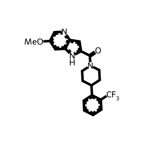 COc1cnc2cc(C(=O)N3CCC(c4ccccc4C(F)(F)F)CC3)[nH]c2c1